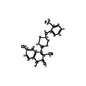 Cn1c(=O)c(C#N)c(N2CCC(Oc3ccccc3C(F)(F)F)CC2)c2nc(Cl)ccc21